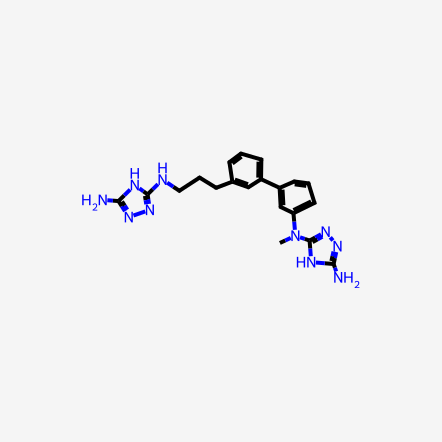 CN(c1cccc(-c2cccc(CCCNc3nnc(N)[nH]3)c2)c1)c1nnc(N)[nH]1